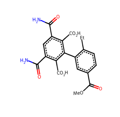 CCc1ccc(C(=O)OC)cc1-c1c(C(=O)O)c(C(N)=O)cc(C(N)=O)c1C(=O)O